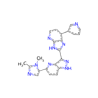 Cc1ncc(-c2ccc3[nH]nc(-c4nc5c(-c6cccnc6)ccnc5[nH]4)c3n2)n1C